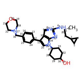 C[C@H](CC1CC1)Nc1ncc2c(-c3ccc(CN4CCOCC4)cc3)cn(C3CCC(O)CC3)c2n1